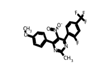 COc1ccc(-c2nc(C)nc(-c3ccc(C(F)(F)F)cc3F)c2[N+](=O)[O-])cc1